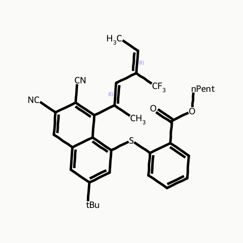 C/C=C(\C=C(/C)c1c(C#N)c(C#N)cc2cc(C(C)(C)C)cc(Sc3ccccc3C(=O)OCCCCC)c12)C(F)(F)F